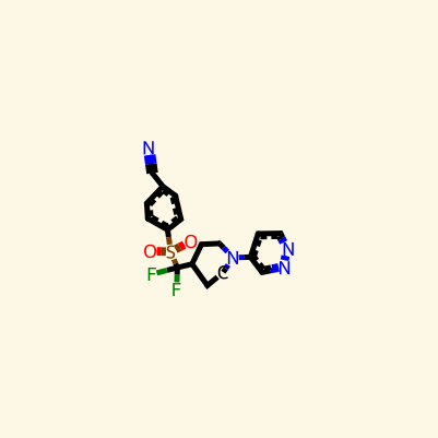 N#Cc1ccc(S(=O)(=O)C(F)(F)C2CCN(c3ccnnc3)CC2)cc1